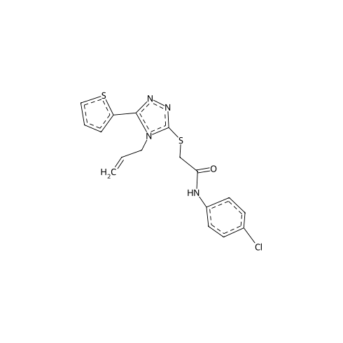 C=CCn1c(SCC(=O)Nc2ccc(Cl)cc2)nnc1-c1cccs1